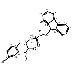 COC(=O)[C@H](Cc1ccc(I)cc1)NC(=O)OCC1c2ccccc2-c2ccccc21